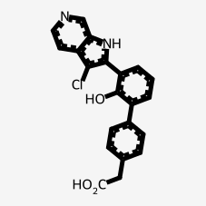 O=C(O)Cc1ccc(-c2cccc(-c3[nH]c4cnccc4c3Cl)c2O)cc1